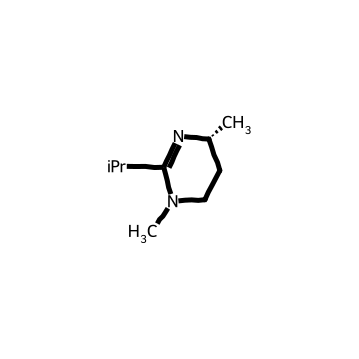 CC(C)C1=N[C@H](C)CCN1C